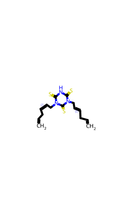 C=CC/C=C\Cn1c(=S)[nH]c(=S)n(C/C=C/CC=C)c1=S